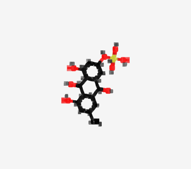 Cc1cc(O)c2c(c1)C(=O)c1cc(OS(=O)(=O)O)cc(O)c1C2=O